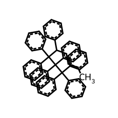 CCCCC(c1ccccc1)C(c1ccccc1)(c1ccccc1)C(c1ccccc1)(c1ccccc1)C(c1ccccc1)(c1ccccc1)c1ccccc1